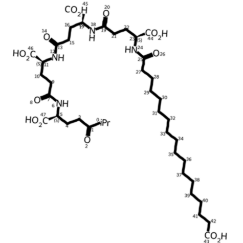 CC(C)C(=O)CC[C@H](NC(=O)CC[C@H](NC(=O)CC[C@H](NC(=O)CC[C@H](NC(=O)CCCCCCCCCCCCCCCCC(=O)O)C(=O)O)C(=O)O)C(=O)O)C(=O)O